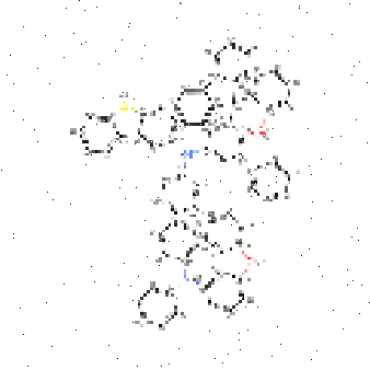 c1ccc(-c2cc(N(c3cccc(-c4ccc5oc6cccc(N(c7ccccc7)c7ccccc7)c6c5c4)c3)c3ccc4sc5ccccc5c4c3)cc3c2Oc2ccccc2C32c3ccccc3-c3ccccc32)cc1